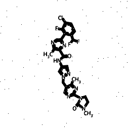 Cc1nc(N2CCN(C)C2=O)ncc1Cn1cc(NC(=O)c2nc(-c3c(C(F)F)ccc(Cl)c3F)cnc2C)cn1